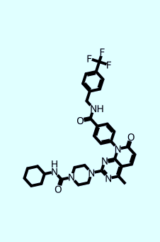 Cc1nc(N2CCN(C(=O)NC3CCCCC3)CC2)nc2c1ccc(=O)n2-c1ccc(C(=O)NCc2ccc(C(F)(F)F)cc2)cc1